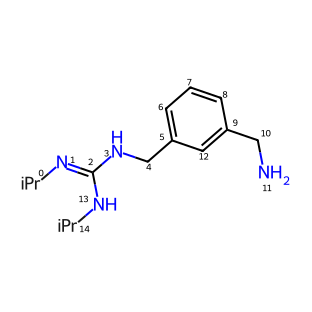 CC(C)/N=C(/NCc1cccc(CN)c1)NC(C)C